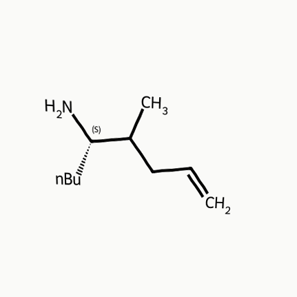 C=CCC(C)[C@@H](N)CCCC